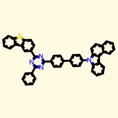 c1ccc(-c2nc(-c3ccc(-c4ccc(-n5c6ccccc6c6c7ccccc7ccc65)cc4)cc3)nc(-c3ccc4sc5ccccc5c4c3)n2)cc1